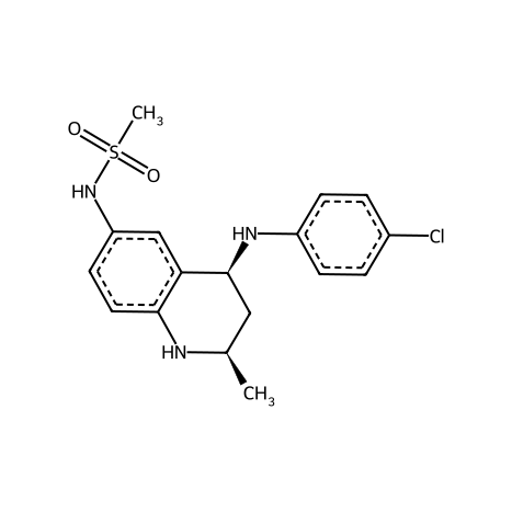 C[C@@H]1C[C@H](Nc2ccc(Cl)cc2)c2cc(NS(C)(=O)=O)ccc2N1